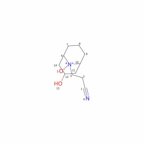 N#CCC[N+]1([O-])C2CCCC1CC(O)C2